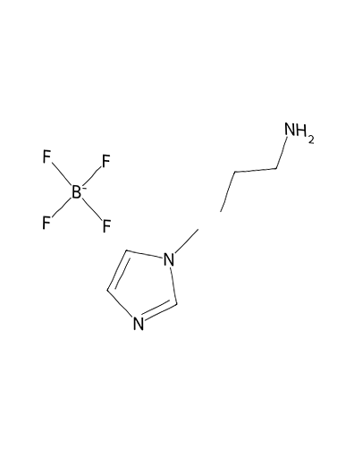 CCCN.Cn1ccnc1.F[B-](F)(F)F